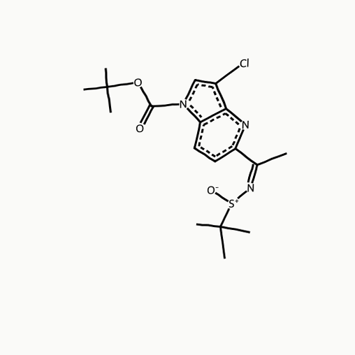 C/C(=N/[S+]([O-])C(C)(C)C)c1ccc2c(n1)c(Cl)cn2C(=O)OC(C)(C)C